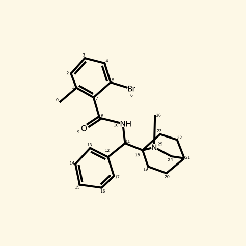 Cc1cccc(Br)c1C(=O)NC(c1ccccc1)C12CCC(CC1)CN2C